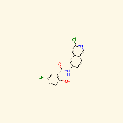 O=C(Nc1ccc2cnc(Cl)cc2c1)c1cc(Cl)ccc1O